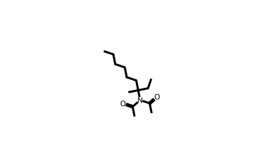 CCCCCCC(C)(CC)N(C(C)=O)C(C)=O